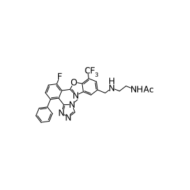 CC(=O)NCCNCc1cc(C(F)(F)F)c2oc(-c3c(F)ccc(-c4ccccc4)c3-c3nncn3C)nc2c1